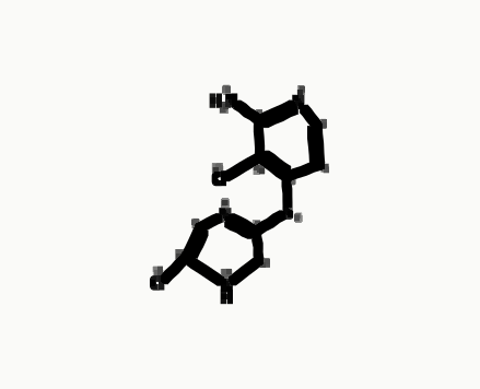 Nc1nccc(SC2=NC=C(Cl)NC2)c1Cl